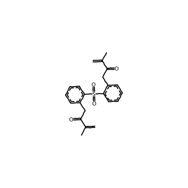 C=C(C)C(=O)Cc1ccccc1S(=O)(=O)c1ccccc1CC(=O)C(=C)C